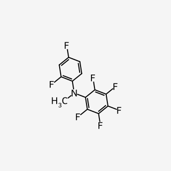 CN(c1ccc(F)cc1F)c1c(F)c(F)c(F)c(F)c1F